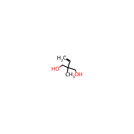 C=CC(C)(CO)CO